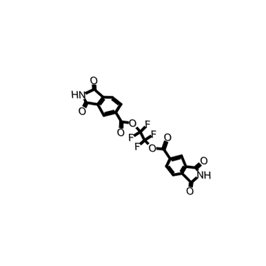 O=C(OC(F)(F)C(F)(F)OC(=O)c1ccc2c(c1)C(=O)NC2=O)c1ccc2c(c1)C(=O)NC2=O